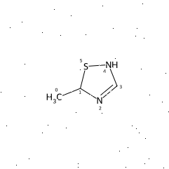 CC1N=CNS1